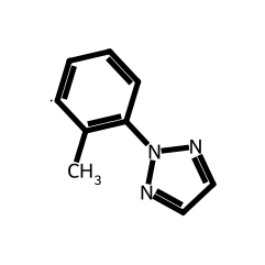 Cc1[c]cccc1-n1nccn1